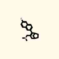 CN(C)CC1=C(c2ccc3cc(F)ccc3c2)C2CCC(C1)C2